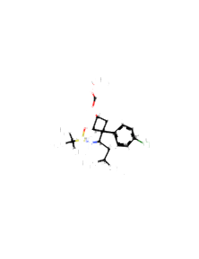 COCOC1CC(c2ccc(Cl)cc2)(C(CC(C)C)N[S+]([O-])C(C)(C)C)C1